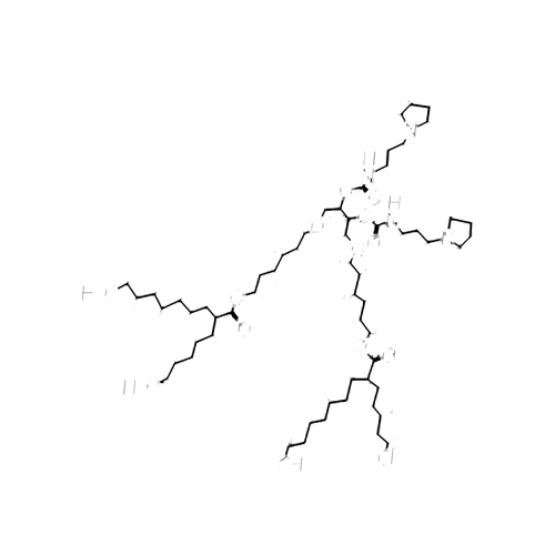 CCCCCCCCC(CCCCCC)C(=O)OCCCCCCOCC(OC(=O)NCCCN1CCCC1)C(COCCCCCCOC(=O)C(CCCCCC)CCCCCCCC)OC(=O)NCCCN1CCCC1